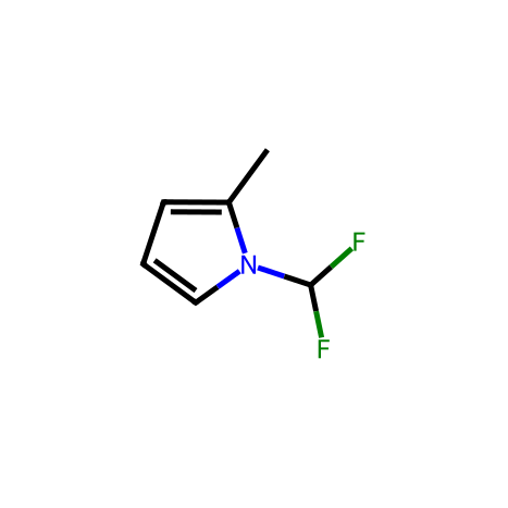 Cc1cccn1C(F)F